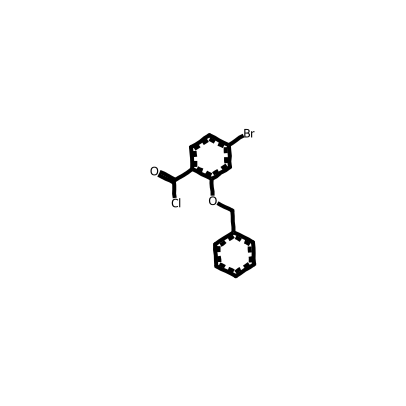 O=C(Cl)c1ccc(Br)cc1OCc1ccccc1